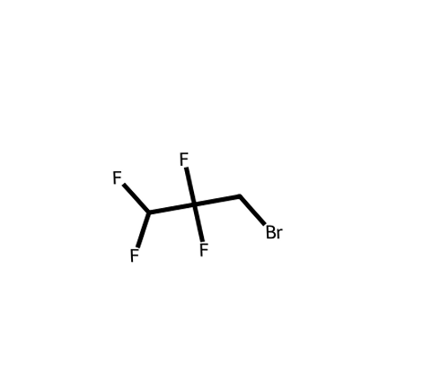 FC(F)C(F)(F)CBr